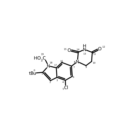 CC(C)(C)c1cc2c(Cl)cc(N3CCC(=O)NC3=O)cc2n1C(=O)O